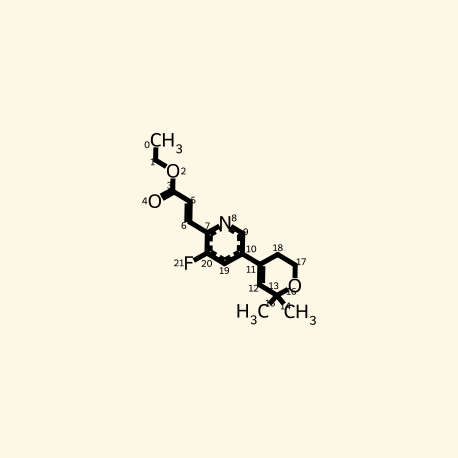 CCOC(=O)/C=C/c1ncc(C2=CC(C)(C)OCC2)cc1F